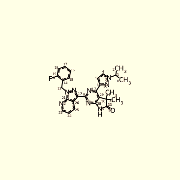 CC(C)n1ccc(-c2nc(-c3nn(Cc4ccccc4F)c4ncccc34)nc3c2C(C)(C)C(=O)N3)n1